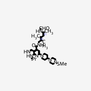 CSN1CCN(C2CCN(c3cc(C(=O)NC/C(C)=C(C)/C=C(/C)NC=O)c(C=N)c(NC(C)C)n3)CC2)CC1